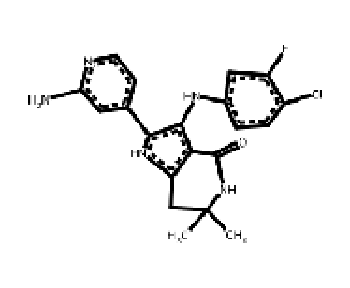 CC1(C)Cc2[nH]c(-c3ccnc(N)c3)c(Nc3ccc(Cl)c(F)c3)c2C(=O)N1